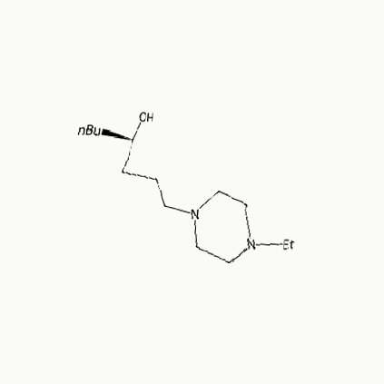 CCCC[C@@H](O)CCCN1CCN(CC)CC1